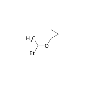 [CH2]CC(C)OC1CC1